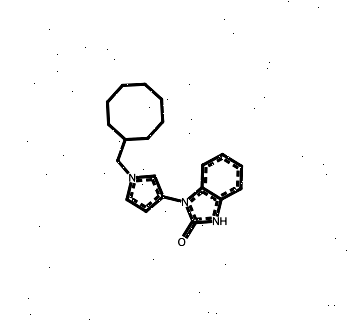 O=c1[nH]c2ccccc2n1-c1ccn(CC2CCCCCCC2)c1